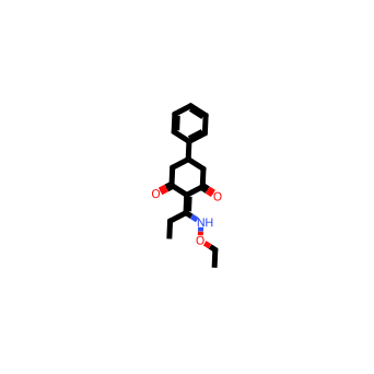 CCONC(CC)=C1C(=O)CC(c2ccccc2)CC1=O